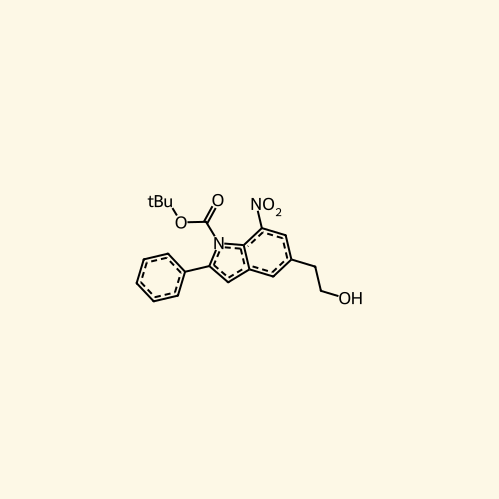 CC(C)(C)OC(=O)n1c(-c2ccccc2)cc2cc(CCO)cc([N+](=O)[O-])c21